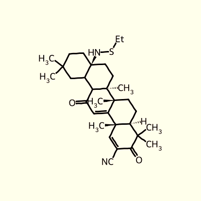 CCSN[C@]12CCC(C)(C)CC1C1C(=O)C=C3[C@@]4(C)C=C(C#N)C(=O)C(C)(C)[C@@H]4CC[C@@]3(C)[C@]1(C)CC2